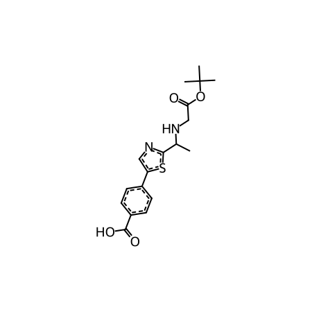 CC(NCC(=O)OC(C)(C)C)c1ncc(-c2ccc(C(=O)O)cc2)s1